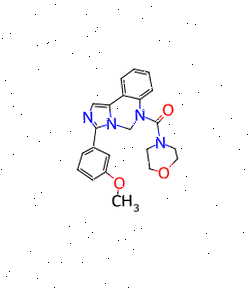 COc1cccc(-c2ncc3n2CN(C(=O)N2CCOCC2)c2ccccc2-3)c1